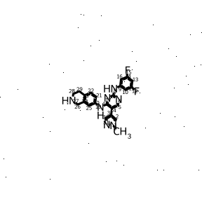 Cn1cc(-c2cnc(Nc3cc(F)cc(F)c3)nc2Nc2ccc3c(c2)CNCC3)cn1